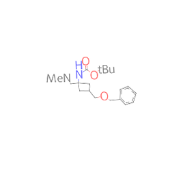 CNCC1(NC(=O)OC(C)(C)C)CC(COCc2ccccc2)C1